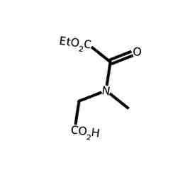 CCOC(=O)C(=O)N(C)CC(=O)O